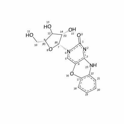 O=c1nc2c(cn1[C@@H]1O[C@H](CO)C(O)[C@@H]1O)Oc1ccccc1N2